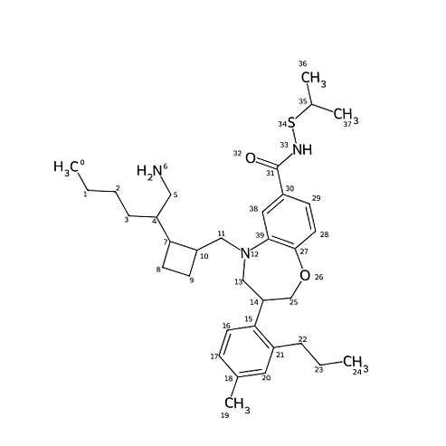 CCCCC(CN)C1CCC1CN1CC(c2ccc(C)cc2CCC)COc2ccc(C(=O)NSC(C)C)cc21